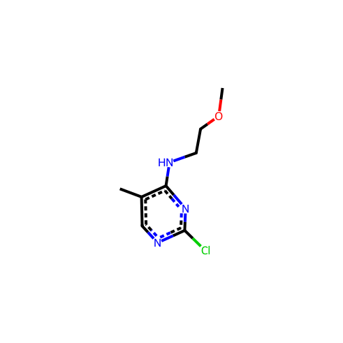 COCCNc1nc(Cl)ncc1C